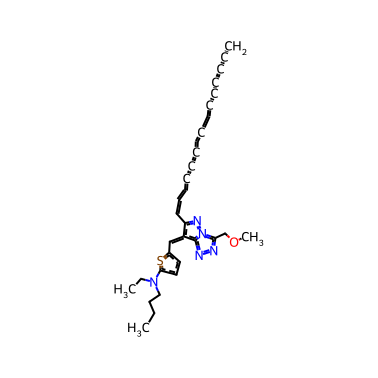 C=C=C=C=C=C=C=C=C=C=C=C=C=C=Cc1nn2c(COC)nnc2/c1=C\c1ccc(N(CC)CCCC)s1